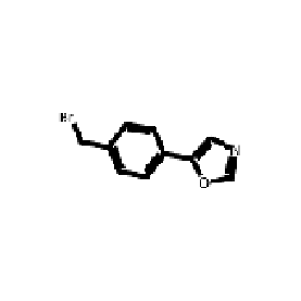 BrCc1ccc(-c2cnco2)cc1